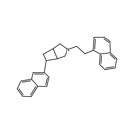 c1ccc2cc(C3CC4CN(CCc5cccc6ccccc56)CC43)ccc2c1